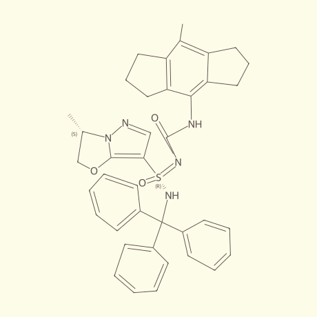 Cc1c2c(c(NC(=O)N=[S@](=O)(NC(c3ccccc3)(c3ccccc3)c3ccccc3)c3cnn4c3OC[C@@H]4C)c3c1CCC3)CCC2